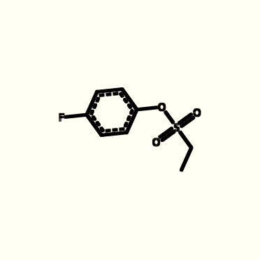 CCS(=O)(=O)Oc1ccc(F)cc1